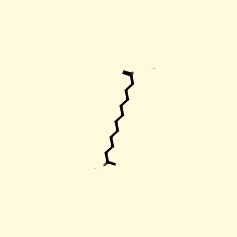 C=C(CCCCCCCCCCC(C)CCCCCC)OC